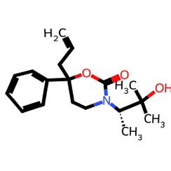 C=CCC1(c2ccccc2)CCN([C@@H](C)C(C)(C)O)C(=O)O1